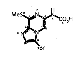 CSc1nc(NC(=O)O)cn2c(Br)cnc12